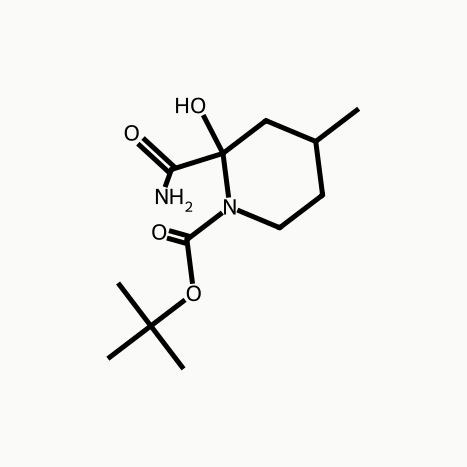 CC1CCN(C(=O)OC(C)(C)C)C(O)(C(N)=O)C1